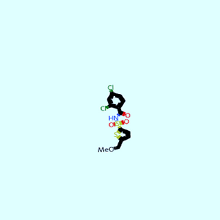 COCc1ccc(S(=O)(=O)NC(=O)c2ccc(Cl)cc2Cl)s1